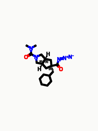 CN(C)C(=O)N1C[C@@H]2C[C@](CC3CCCCC3)(C(=O)N=[N+]=[N-])C[C@@H]2C1